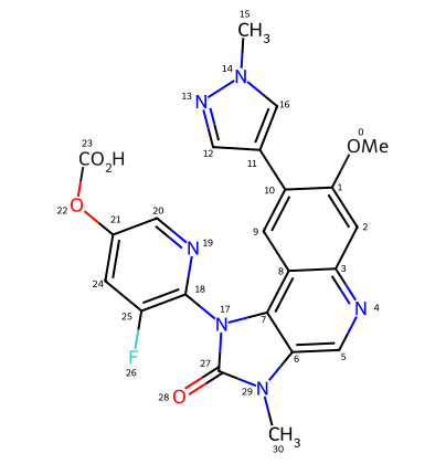 COc1cc2ncc3c(c2cc1-c1cnn(C)c1)n(-c1ncc(OC(=O)O)cc1F)c(=O)n3C